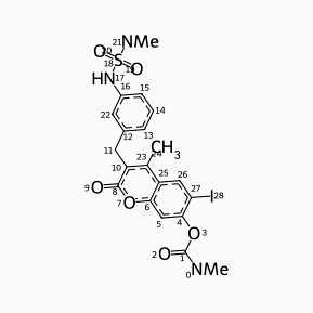 CNC(=O)Oc1cc2oc(=O)c(Cc3cccc(NS(=O)(=O)NC)c3)c(C)c2cc1I